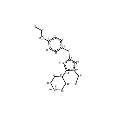 CCOc1ccc(Cc2nc(CC)c(C3CCNCC3)s2)cc1